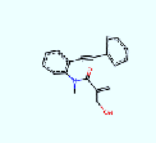 C=C(CO)C(=O)N(C)c1ccccc1C#Cc1ccccc1